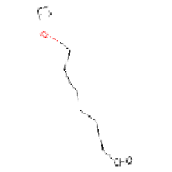 O=CCCCCCCOC(F)(F)F